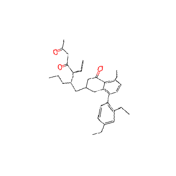 CCCC(CC1CC(=O)c2c(C)ccc(-c3ccc(CC)cc3CC)c2C1)C(CC)C(=O)CC(C)=O